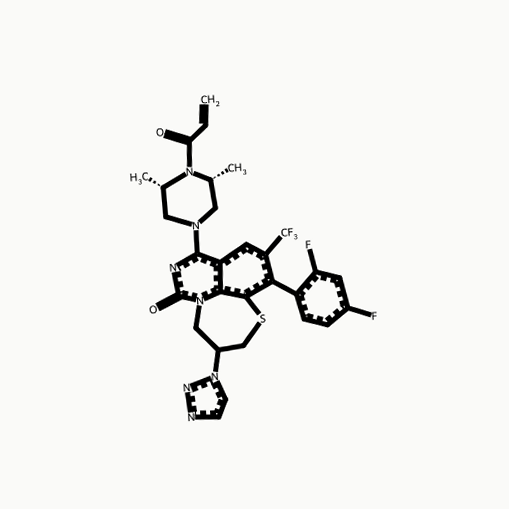 C=CC(=O)N1[C@H](C)CN(c2nc(=O)n3c4c(c(-c5ccc(F)cc5F)c(C(F)(F)F)cc24)SCC(n2ccnn2)C3)C[C@@H]1C